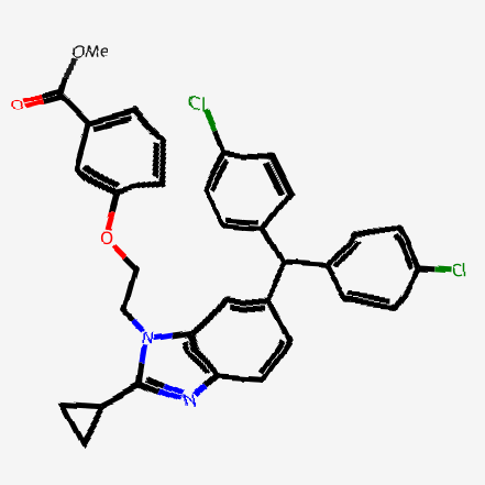 COC(=O)c1cccc(OCCn2c(C3CC3)nc3ccc(C(c4ccc(Cl)cc4)c4ccc(Cl)cc4)cc32)c1